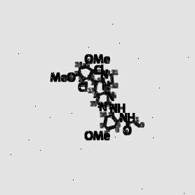 C=CC(=O)Nc1cc(OC)ccc1Nc1ncc2cc(-c3c(Cl)c(OC)cc(OC)c3Cl)c3nccn3c2n1